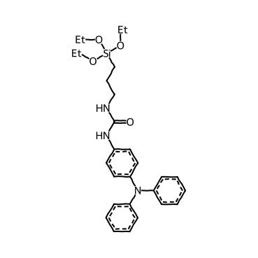 CCO[Si](CCCNC(=O)Nc1ccc(N(c2ccccc2)c2ccccc2)cc1)(OCC)OCC